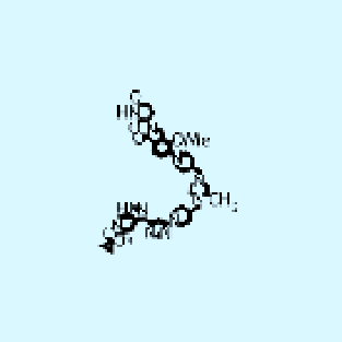 COc1c(N2CCC(CN3CCN(CC4CCN(c5cc(-c6n[nH]c7cnc(OC8(C)CC8)cc67)ncn5)CC4)[C@H](C)C3)CC2)ccc2c1CN(C1CCC(=O)NC1=O)C2=O